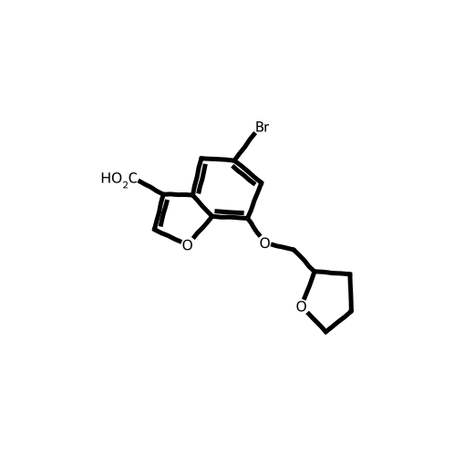 O=C(O)c1coc2c(OCC3CCCO3)cc(Br)cc12